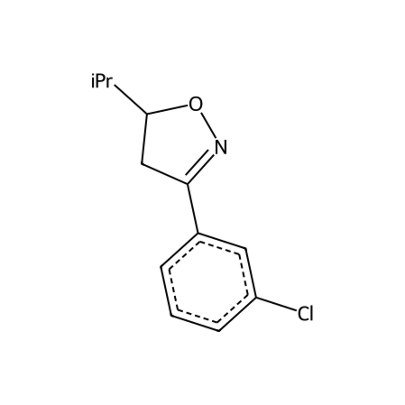 CC(C)C1CC(c2cccc(Cl)c2)=NO1